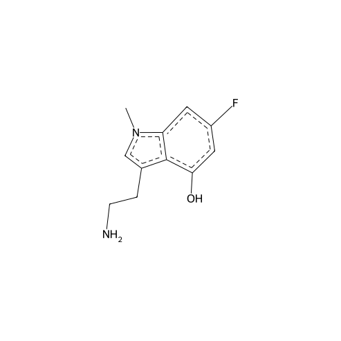 Cn1cc(CCN)c2c(O)cc(F)cc21